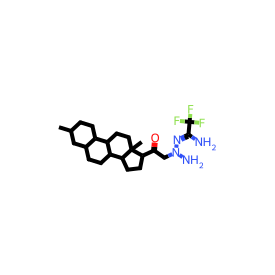 CC1CCC2C(CCC3C2CCC2(C)C(C(=O)CN(N)/N=C(\N)C(F)(F)F)CCC32)C1